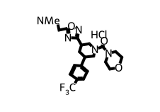 CNCc1nc(C2CC(c3ccc(C(F)(F)F)cc3)CN(C(=O)N3CCOCC3)C2)no1.Cl